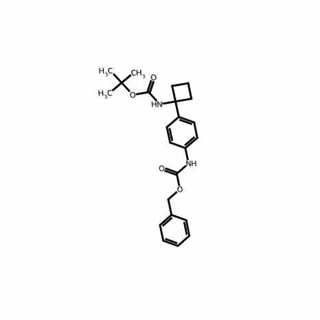 CC(C)(C)OC(=O)NC1(c2ccc(NC(=O)OCc3ccccc3)cc2)CCC1